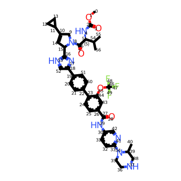 COC(=O)N[C@H](C(=O)N1CC(C2CC2)=CC1c1nc(-c2ccc(-c3ccc(C(=O)Nc4ccc(N5CCNCC5C)nc4)cc3OC(F)(F)F)cc2)c[nH]1)C(C)C